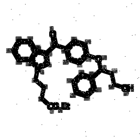 CCOC(=O)CCCn1cc(C(=O)c2ccc(OC(CCO)c3ccccc3)cc2)c2ccccc21